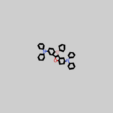 c1ccc(B2c3ccc(N(c4ccccc4)c4ccccc4)cc3-c3oc4ccc(N(c5ccccc5)c5ccccc5)cc4c32)cc1